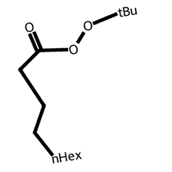 CCCCCCCCCC(=O)OOC(C)(C)C